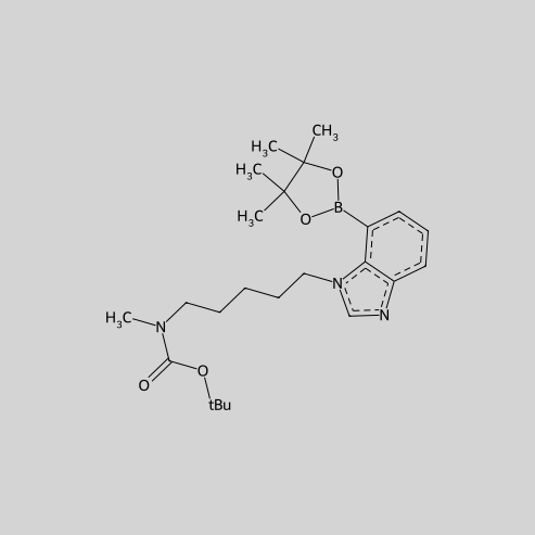 CN(CCCCCn1cnc2cccc(B3OC(C)(C)C(C)(C)O3)c21)C(=O)OC(C)(C)C